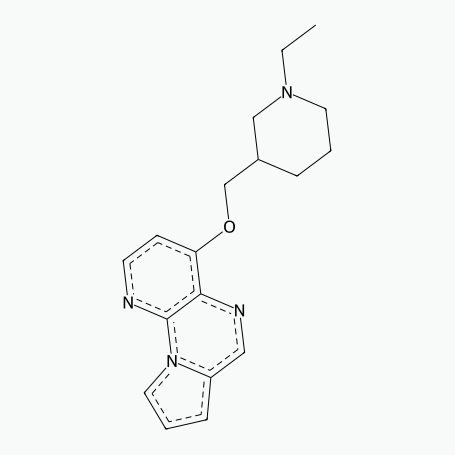 CCN1CCCC(COc2ccnc3c2ncc2cccn23)C1